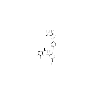 C=C(NC(=O)c1nc(C#N)cnc1NCc1ccc(-c2cnc(NC)c(C(=C)N)n2)cc1)c1ccc(C)c(C)c1